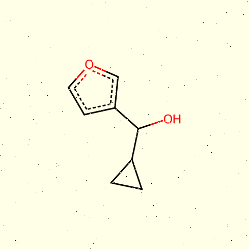 OC(c1ccoc1)C1CC1